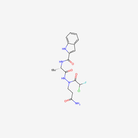 CC(C)(C)[C@H](NC(=O)c1cc2ccccc2[nH]1)C(=O)NN(CCC(N)=O)C(=O)C(F)Cl